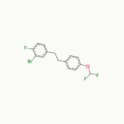 Fc1ccc(CCc2ccc(OC(F)F)cc2)cc1Br